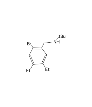 CCc1cc(Br)c(CNC(C)(C)C)cc1CC